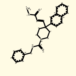 COC(=O)/C=C/C1(c2ccc3ccccc3c2)CCN(C(=O)OCc2ccccc2)CC1